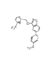 FC(F)(F)Oc1ccc(-c2ccc3onc(OCc4nccc(C(F)(F)F)n4)c3c2)cc1